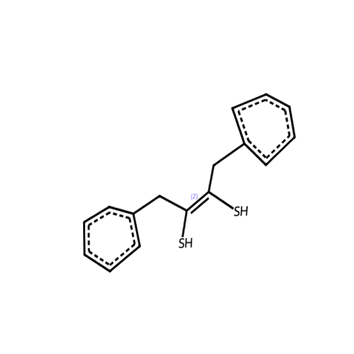 S/C(Cc1ccccc1)=C(\S)Cc1ccccc1